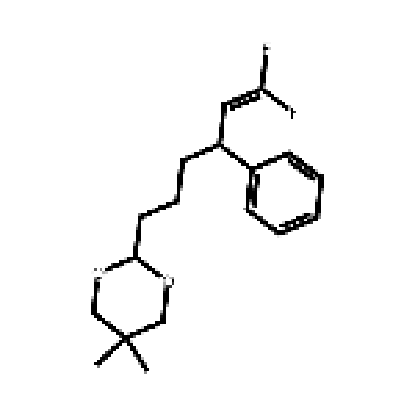 CC1(C)COC(CCCC(C=C(F)F)c2ccccc2)OC1